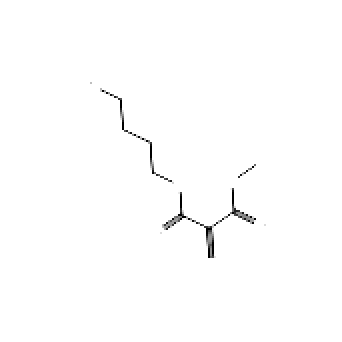 C=C(C(=O)OC)C(=O)OCCCCN